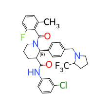 Cc1cccc(F)c1C(=O)N1CCCC(C(=O)Nc2cccc(Cl)c2)[C@@H]1c1ccc(CN2CCCC2C(F)(F)F)cc1